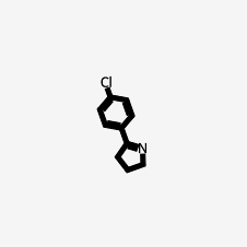 Clc1ccc(C2=NCCC2)cc1